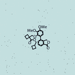 COc1ccc(-c2cccc3c2COC3=O)c(OCC2(C(=O)OCC3CCC3)CCC2)c1OC